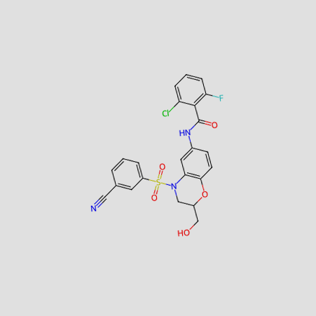 N#Cc1cccc(S(=O)(=O)N2CC(CO)Oc3ccc(NC(=O)c4c(F)cccc4Cl)cc32)c1